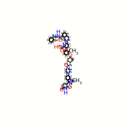 Cc1c(O[C@H]2CC[C@H](CC(=O)N3CCN(c4ccc5c(C6CCC(=O)NC6=O)nn(C)c5c4)CC3)CC2)cccc1-c1ccc(N2CCc3cccc(C(=O)Nc4nc5ccccc5s4)c3C2)nc1C(O)O